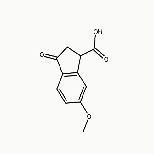 COc1ccc2c(c1)C(C(=O)O)CC2=O